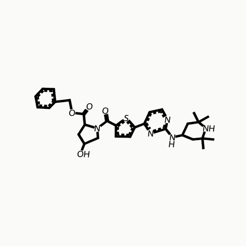 CC1(C)CC(Nc2nccc(-c3ccc(C(=O)N4CC(O)CC4C(=O)OCc4ccccc4)s3)n2)CC(C)(C)N1